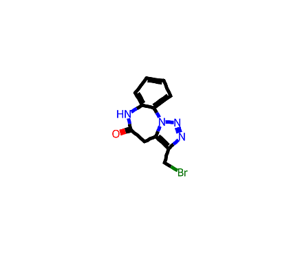 O=C1Cc2c(CBr)nnn2-c2ccccc2N1